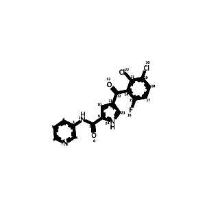 O=C(Nc1cccnc1)c1cc(C(=O)c2c(F)ccc(Cl)c2Cl)c[nH]1